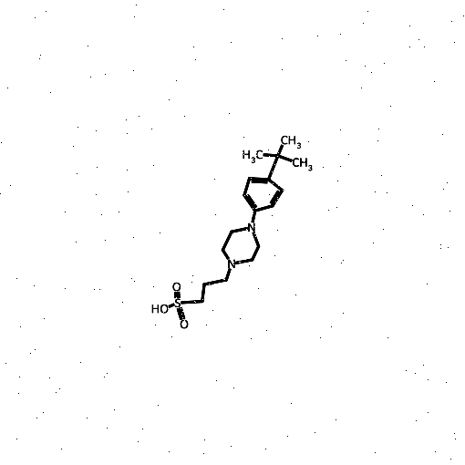 CC(C)(C)c1ccc(N2CCN(CCCS(=O)(=O)O)CC2)cc1